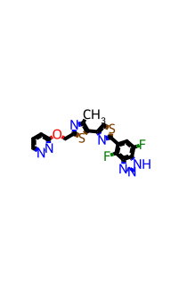 Cc1nc(COc2cccnn2)sc1-c1csc(-c2cc(F)c3[nH]nnc3c2F)n1